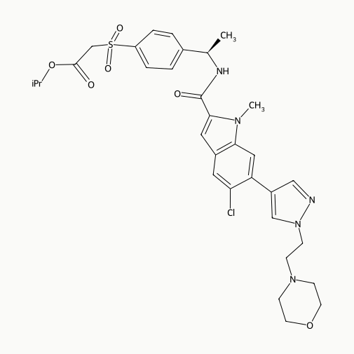 CC(C)OC(=O)CS(=O)(=O)c1ccc([C@@H](C)NC(=O)c2cc3cc(Cl)c(-c4cnn(CCN5CCOCC5)c4)cc3n2C)cc1